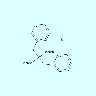 CCCCCCCCC[P+](CCCCCCCCC)(Cc1ccccc1)Cc1ccccc1.[Br-]